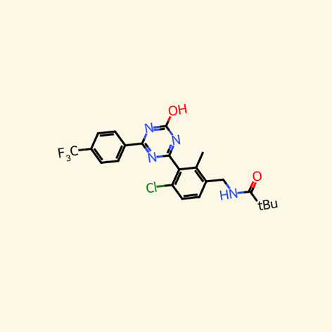 Cc1c(CNC(=O)C(C)(C)C)ccc(Cl)c1-c1nc(O)nc(-c2ccc(C(F)(F)F)cc2)n1